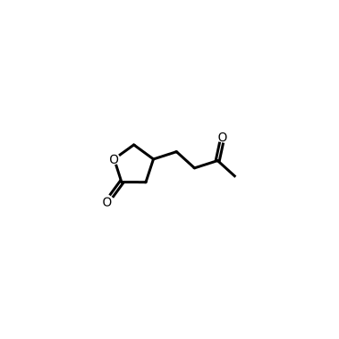 CC(=O)CCC1COC(=O)C1